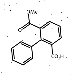 COC(=O)c1cccc(C(=O)O)c1-c1ccccc1